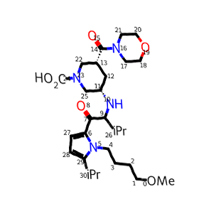 COCCCCn1c(C(=O)C(N[C@H]2C[C@@H](C(=O)N3CCOCC3)CN(C(=O)O)C2)C(C)C)ccc1C(C)C